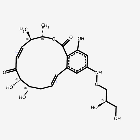 C[C@@H]1/C=C\C(=O)[C@@H](O)[C@@H](O)C/C=C/c2cc(NOC[C@H](O)CO)cc(O)c2C(=O)O[C@H]1C